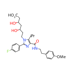 COc1ccc(CCNC(=O)c2nc(-c3ccc(F)cc3)n(CC[C@@H](O)C[C@@H](O)CC(=O)O)c2C(C)C)cc1